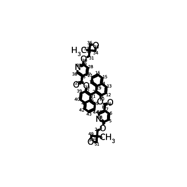 CC1(COc2ccc(C(=O)Oc3ccc4ccccc4c3-c3c(OC(=O)c4ccc(OCC5(C)COC5)nc4)ccc4ccccc34)cn2)COC1